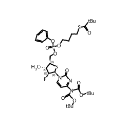 C[C@H]1[C@H](F)[C@H](n2ccc(N(C(=O)OC(C)(C)C)C(=O)OC(C)(C)C)nc2=O)S[C@@H]1COP(=O)(OCCCCSC(=O)C(C)(C)C)Oc1ccccc1